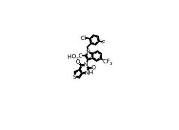 O=C(O)c1c(-n2c(=O)[nH]c3cscc3c2=O)c2cc(C(F)(F)F)ccc2n1Cc1cc(F)ccc1Cl